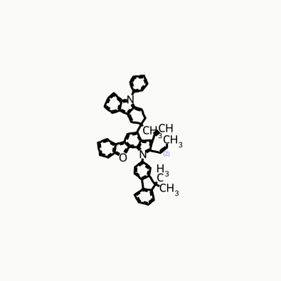 C#Cc1c(/C=C\C)n(-c2ccc3c(c2)C(C)(C)c2ccccc2-3)c2c1c(C1(C)C=c3c(n(-c4ccccc4)c4ccccc34)=CC1)cc1c3ccccc3oc12